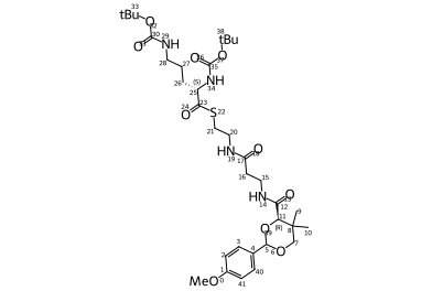 COc1ccc(C2OCC(C)(C)[C@H](C(=O)NCCC(=O)NCCSC(=O)[C@H](CCCNC(=O)OC(C)(C)C)NC(=O)OC(C)(C)C)O2)cc1